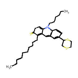 CCCCCCCCCCC1=C2C=C3C=C(C4CSCCS4)C=CC3N(CCCCCC)C2=CCC1=S